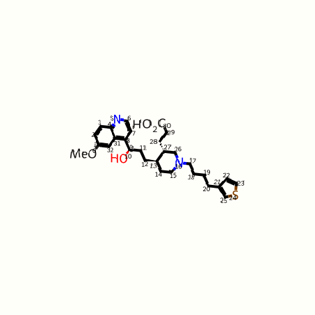 COc1ccc2nccc([C@H](O)CC[C@@H]3CCN(CCCCc4ccsc4)C[C@H]3CCC(=O)O)c2c1